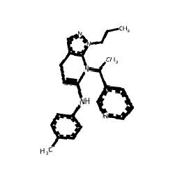 CCCn1ncc2c1N(C(C)c1cccnc1)C(Nc1ccc(C)cc1)=CC2